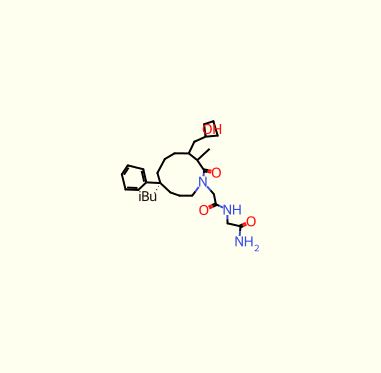 CCC(C)[C@]1(c2ccccc2)CCCC(CC2(O)CCC2)C(C)C(=O)N(CC(=O)NCC(N)=O)CCC1